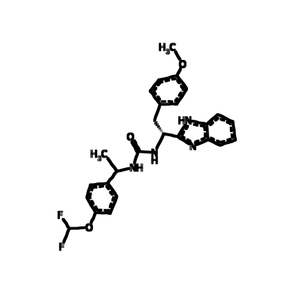 COc1ccc(C[C@@H](NC(=O)NC(C)c2ccc(OC(F)F)cc2)c2nc3ccccc3[nH]2)cc1